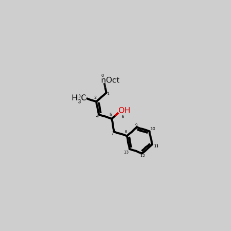 CCCCCCCCCC(C)=CC(O)Cc1[c]cccc1